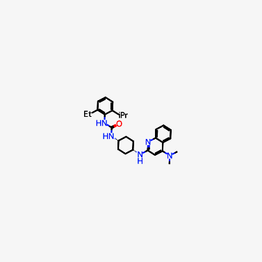 CCc1cccc(C(C)C)c1NC(=O)N[C@H]1CC[C@@H](Nc2cc(N(C)C)c3ccccc3n2)CC1